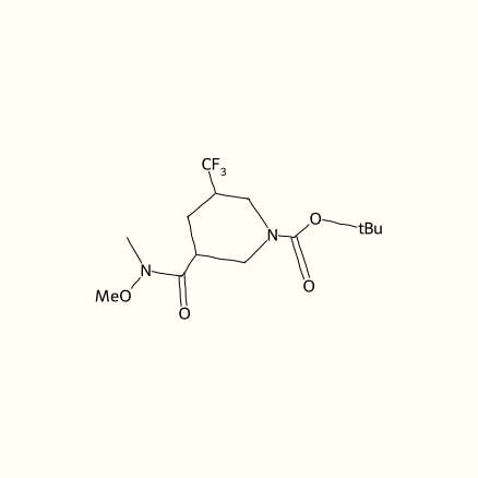 CON(C)C(=O)C1CC(C(F)(F)F)CN(C(=O)OC(C)(C)C)C1